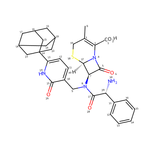 CC1=C(C(=O)O)N2C(=O)[C@@H](N(Cc3ccc(C45CC6CC(CC(C6)C4)C5)[nH]c3=O)C(=O)[C@H](N)c3ccccc3)[C@H]2SC1